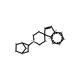 C1=CC2(CCN(C3CC4CCC3C4)CC2)c2ccccc21